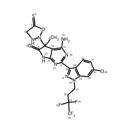 CC1(N2NCC(=S)O2)C(=O)Nc2nc(-c3nn(CCC(F)(F)C(F)(F)F)c4cc(Cl)ccc34)nc(N)c21